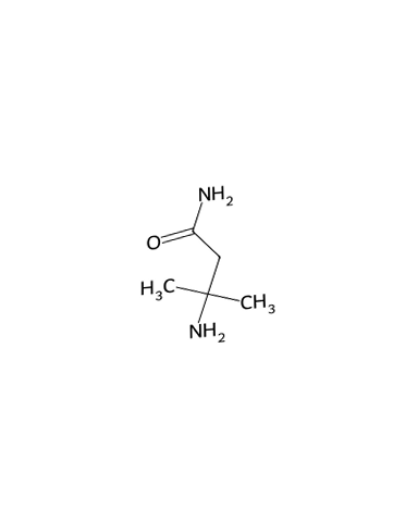 CC(C)(N)CC(N)=O